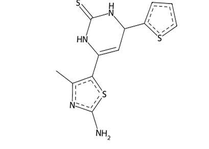 Cc1nc(N)sc1C1=CC(c2cccs2)NC(=S)N1